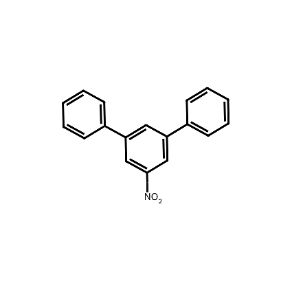 O=[N+]([O-])c1cc(-c2ccccc2)cc(-c2ccccc2)c1